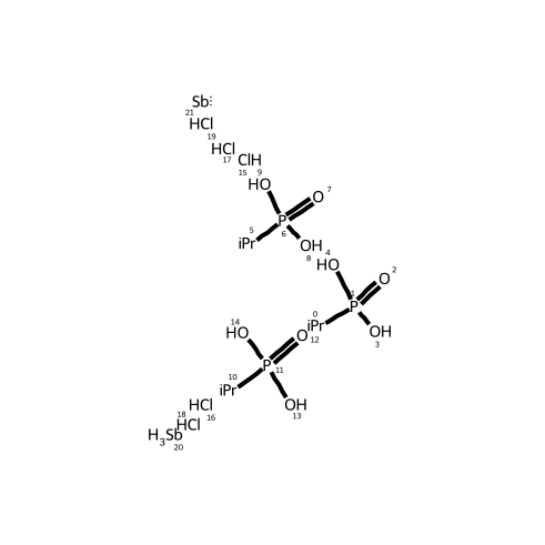 CC(C)P(=O)(O)O.CC(C)P(=O)(O)O.CC(C)P(=O)(O)O.Cl.Cl.Cl.Cl.Cl.[SbH3].[Sb]